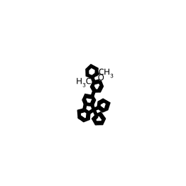 CC12CCCCC1(C)c1cc(-c3ccc4c(c3)C(c3ccccc3)(c3ccccc3)c3ccccc3-4)ccc1O2